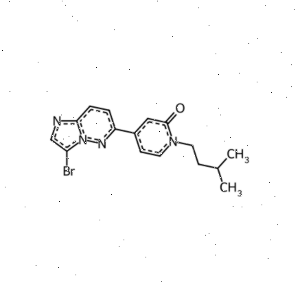 CC(C)CCn1ccc(-c2ccc3ncc(Br)n3n2)cc1=O